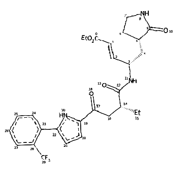 CCOC(=O)/C=C/[C@H](C[C@@H]1CCNC1=O)NC(=O)[C@H](CC)CC(=O)c1ccc(-c2ccccc2C(F)(F)F)[nH]1